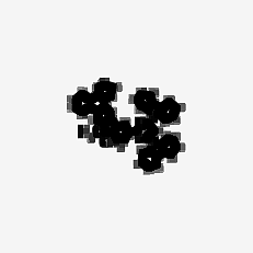 CC1(C)c2ccc(-c3nc(-n4c5ccccc5c5ccccc54)cc(-n4c5ccccc5c5ccccc54)n3)cc2-c2cc3c4ccccc4c4ccccc4c3cc21